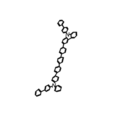 c1ccc(-c2ccc(N(c3ccccc3)c3ccc(-c4ccc(-c5ccc(-c6ccc(-c7ccc8c(c7)c7ccccc7n8-c7ccc(-c8ccccc8)cc7)cc6)cc5)cc4)cc3)cc2)cc1